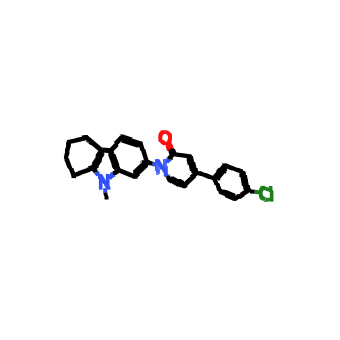 Cn1c2c(c3ccc(-n4ccc(-c5ccc(Cl)cc5)cc4=O)cc31)CCCC2